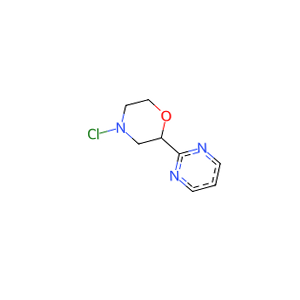 ClN1CCOC(c2ncccn2)C1